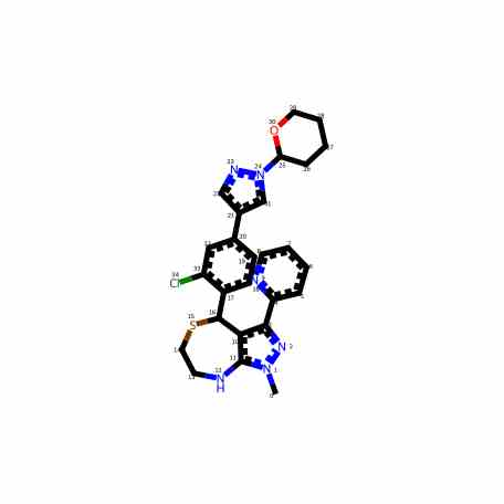 Cn1nc(-c2ccccn2)c2c1NCCSC2c1ccc(-c2cnn(C3CCCCO3)c2)cc1Cl